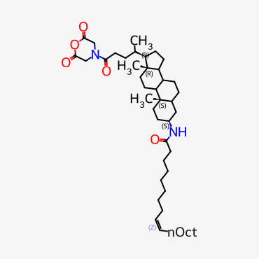 CCCCCCCC/C=C\CCCCCCCC(=O)N[C@H]1CC[C@@]2(C)C(CCC3C2CC[C@@]2(C)C3CC[C@@H]2C(C)CCC(=O)N2CC(=O)OC(=O)C2)C1